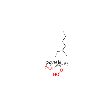 CCC(C)(C)OO.CCCCC(C)CC.O=C(O)O.O=C(O)O